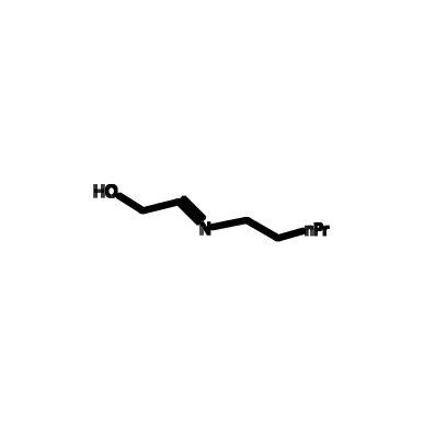 CCCCCN=CCO